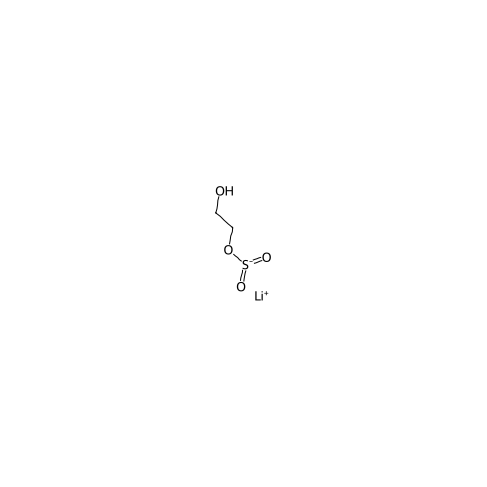 O=[S-](=O)OCCO.[Li+]